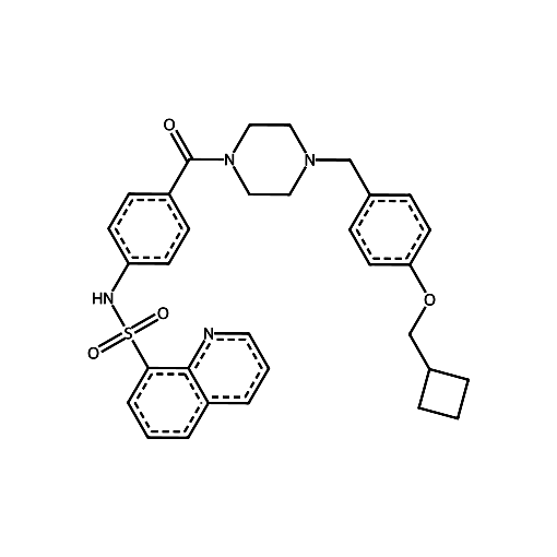 O=C(c1ccc(NS(=O)(=O)c2cccc3cccnc23)cc1)N1CCN(Cc2ccc(OCC3CCC3)cc2)CC1